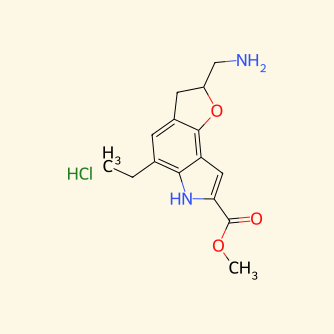 CCc1cc2c(c3cc(C(=O)OC)[nH]c13)OC(CN)C2.Cl